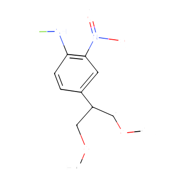 COCC(COC)c1ccc(NF)c([N+](=O)[O-])c1